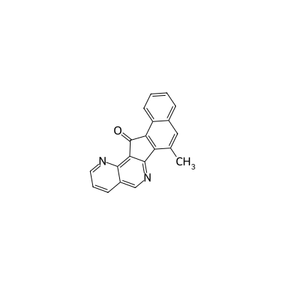 Cc1cc2ccccc2c2c1-c1ncc3cccnc3c1C2=O